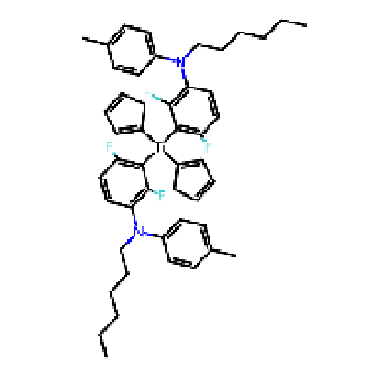 CCCCCCN(c1ccc(C)cc1)c1ccc(F)[c]([Ti]([C]2=CC=CC2)([C]2=CC=CC2)[c]2c(F)ccc(N(CCCCCC)c3ccc(C)cc3)c2F)c1F